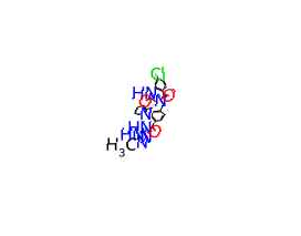 Cc1nnc(NC(=O)c2ccc(CN3C(=O)c4ccc(Cl)cc4NC(=O)[C@H]3Cc3ccccn3)cc2)[nH]1